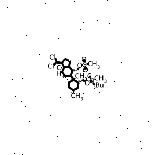 C[C@H]1CC[C@](C)(C2CC[C@]3(C)C(=C(Cl)Cl)CCC3[C@@H]2COS(C)(=O)=O)[C@@H](CO[Si](C)(C)C(C)(C)C)C1